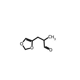 CC(C=O)CC1=COCO1